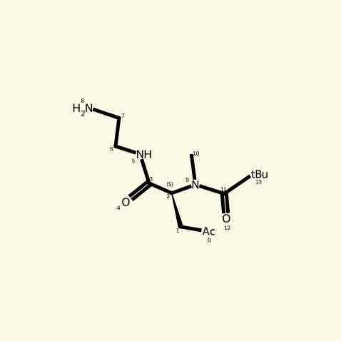 CC(=O)C[C@@H](C(=O)NCCN)N(C)C(=O)C(C)(C)C